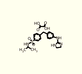 CC(C)NS(=O)(=O)c1ccc(Cc2ccc(NC3=NCCN3)cc2)cc1.O=C(O)C(=O)O